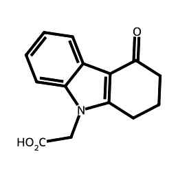 O=C(O)Cn1c2c(c3ccccc31)C(=O)CCC2